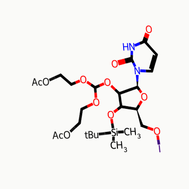 CC(=O)OCCOC(OCCOC(C)=O)OC1C(O[Si](C)(C)C(C)(C)C)[C@H](COI)O[C@@H]1n1ccc(=O)[nH]c1=O